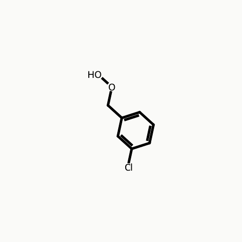 OOCc1cccc(Cl)c1